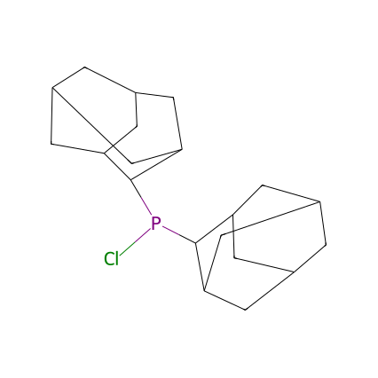 ClP(C1C2CC3CC(C2)CC1C3)C1C2CC3CC(C2)CC1C3